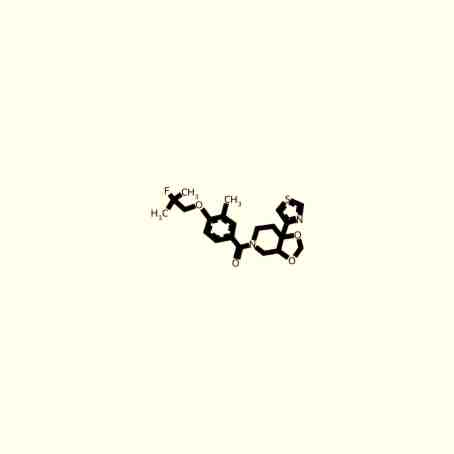 Cc1cc(C(=O)N2CCC3(c4cscn4)OCOC3C2)ccc1OCC(C)(C)F